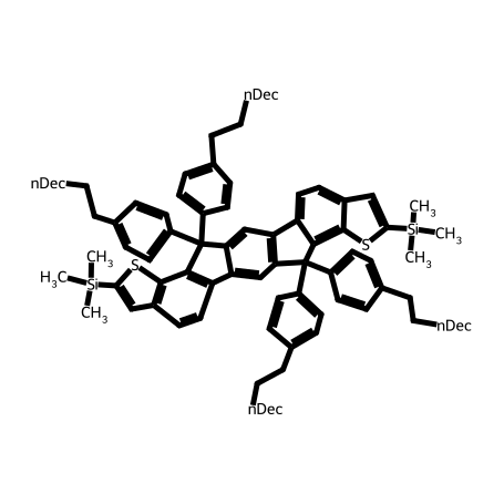 CCCCCCCCCCCCc1ccc(C2(c3ccc(CCCCCCCCCCCC)cc3)c3cc4c(cc3-c3ccc5cc([Si](C)(C)C)sc5c32)C(c2ccc(CCCCCCCCCCCC)cc2)(c2ccc(CCCCCCCCCCCC)cc2)c2c-4ccc3cc([Si](C)(C)C)sc23)cc1